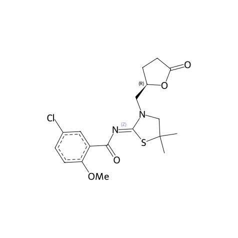 COc1ccc(Cl)cc1C(=O)/N=C1\SC(C)(C)CN1C[C@H]1CCC(=O)O1